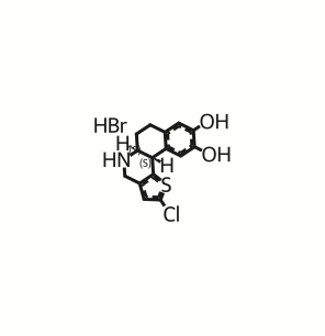 Br.Oc1cc2c(cc1O)[C@@H]1c3sc(Cl)cc3CN[C@H]1CC2